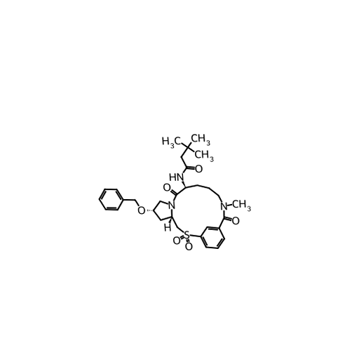 CN1CCC[C@H](NC(=O)CC(C)(C)C)C(=O)N2C[C@@H](OCc3ccccc3)C[C@H]2CS(=O)(=O)c2cccc(c2)C1=O